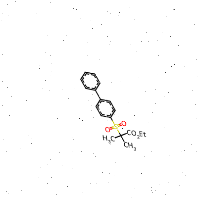 CCOC(=O)C(C)(C)S(=O)(=O)c1ccc(-c2ccccc2)cc1